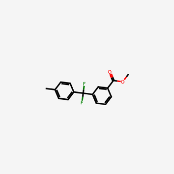 COC(=O)c1cccc(C(F)(F)c2ccc(C)cc2)c1